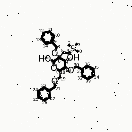 C[Si](C)(C)CC[C@]1(OCc2ccccc2)[C@H](O)O[C@H](COCc2ccccc2)[C@H](OCc2ccccc2)[C@@H]1O